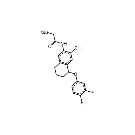 Cc1cc2c(cc1NC(=O)CC(C)(C)C)CCCC2Oc1ccc(F)c(F)c1